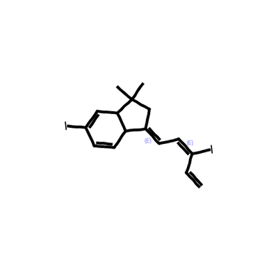 C=C/C(I)=C\C=C1/CC(C)(C)C2C=C(I)C=CC12